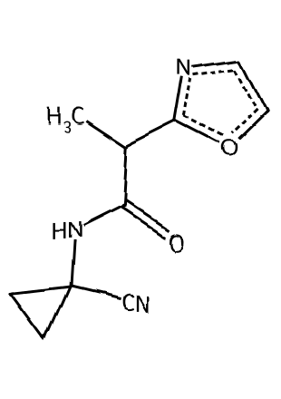 CC(C(=O)NC1(C#N)CC1)c1ncco1